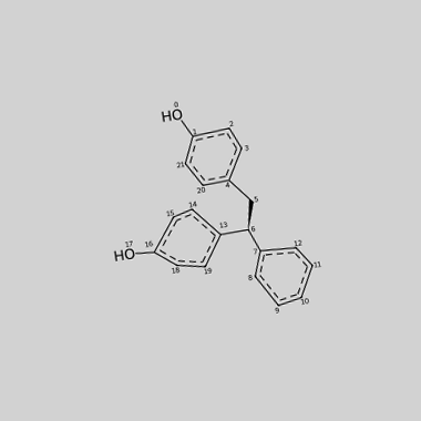 Oc1ccc(C[C@@H](c2ccccc2)c2ccc(O)cc2)cc1